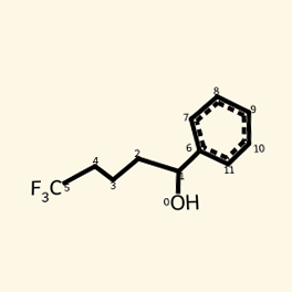 OC(CCCC(F)(F)F)c1ccccc1